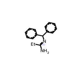 CC/C(N)=N\C(c1ccccc1)c1ccccc1